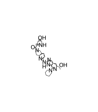 CC(O)c1cc2cnc(Nc3ccc4c(n3)CCN(C(=O)[C@H]3C[C@H](O)CN3)C4)nc2c(N2CCCCC2)n1